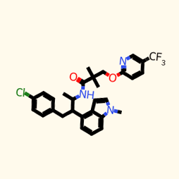 CC(NC(=O)C(C)(C)COc1ccc(C(F)(F)F)cn1)C(Cc1ccc(Cl)cc1)c1cccc2c1ccn2C